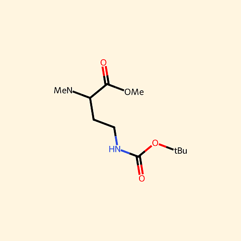 CNC(CCNC(=O)OC(C)(C)C)C(=O)OC